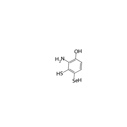 Nc1c(O)ccc([SeH])c1S